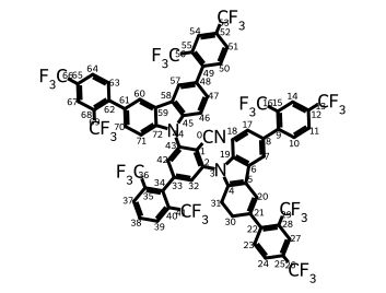 N#Cc1c(-n2c3c(c4cc(-c5ccc(C(F)(F)F)cc5C(F)(F)F)ccc42)C=C(c2ccc(C(F)(F)F)cc2C(F)(F)F)CC3)cc(-c2c(C(F)(F)F)cccc2C(F)(F)F)cc1-n1c2ccc(-c3ccc(C(F)(F)F)cc3C(F)(F)F)cc2c2cc(-c3ccc(C(F)(F)F)cc3C(F)(F)F)ccc21